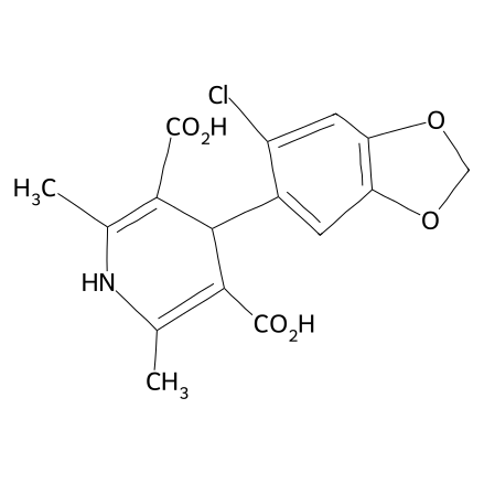 CC1=C(C(=O)O)C(c2cc3c(cc2Cl)OCO3)C(C(=O)O)=C(C)N1